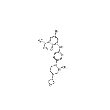 CC(C)n1cc(Br)cc(Nc2ccc(N3CCN(C4COC4)C[C@@H]3C)cn2)c1=O